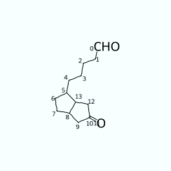 O=CCCCCC1CCC2CC(=O)CC12